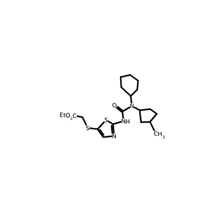 CCOC(=O)CSc1cnc(NC(=O)N(C2CCCCC2)C2CCC(C)C2)s1